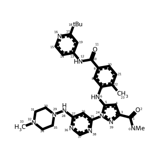 CNC(=O)c1cc(Nc2cc(C(=O)Nc3ccnc(C(C)(C)C)c3)ccc2C)n(-c2cc(NN3CCN(C)CC3)ncn2)n1